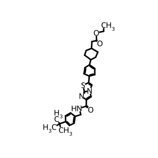 CCOC(=O)CC1CCC(c2ccc(-c3cn4cc(C(=O)NCc5ccc(C(C)(C)C)cc5)nc4s3)cc2)CC1